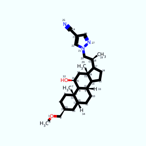 COC[C@H]1CC[C@]2(C)C3[C@@H](CC[C@@H]2C1)C1CCC([C@H](C)Cn2cc(C#N)cn2)[C@@]1(C)C[C@@H]3O